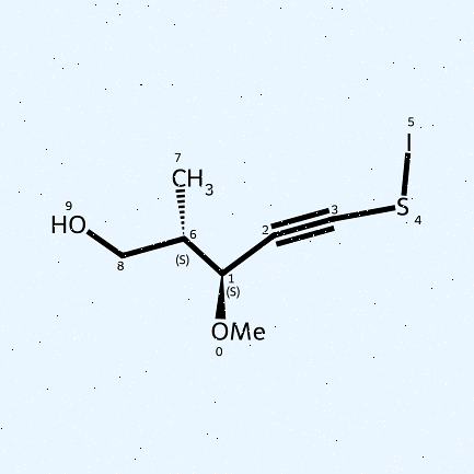 CO[C@H](C#CSI)[C@@H](C)CO